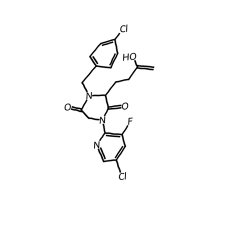 C=C(O)CCC1C(=O)N(c2ncc(Cl)cc2F)CC(=O)N1Cc1ccc(Cl)cc1